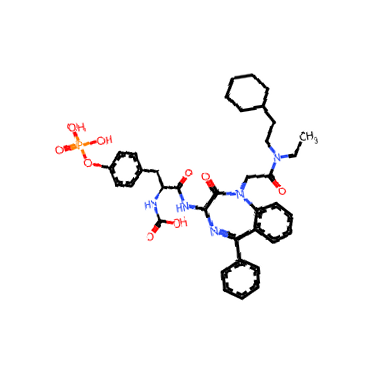 CCN(CCC1CCCCC1)C(=O)CN1C(=O)C(NC(=O)C(Cc2ccc(OP(=O)(O)O)cc2)NC(=O)O)N=C(c2ccccc2)c2ccccc21